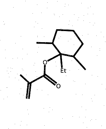 C=C(C)C(=O)OC1(CC)C(C)CCCC1C